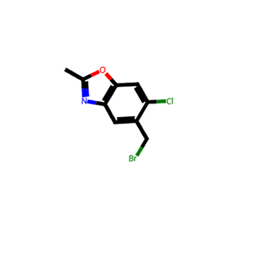 Cc1nc2cc(CBr)c(Cl)cc2o1